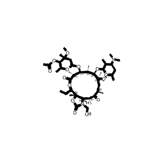 CCC1OC(=O)[C@H](C)[C@@H](OC2CC(C)(OC)C(OC(C)=O)C(C)O2)[C@H](C)[C@@H](OC2OC(C)CC(N(C)C)C2C)[C@@](C)(OC)C[C@@H](C)C(=O)[C@H](C)[C@H]2N(CO)C(=O)O[C@]12C